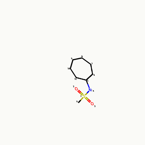 CS(=O)(=O)[N]C1CCCCCC1